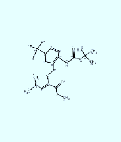 COC(=O)/C(=C/N(C)C)SCc1cc(C(F)(F)F)ccc1NC(=O)OC(C)(C)C